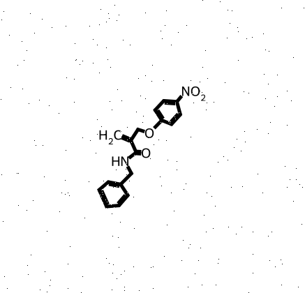 C=C(COc1ccc([N+](=O)[O-])cc1)C(=O)NCc1ccccc1